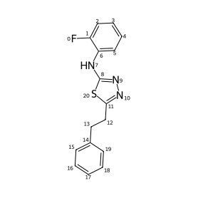 Fc1ccccc1Nc1nnc(CCc2ccccc2)s1